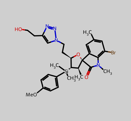 COc1ccc([Si](C)(C)[C@@H]2[C@@H](CCn3cc(CCO)nn3)O[C@]3(C(=O)N(C)c4c(Br)cc(C)cc43)[C@H]2C)cc1